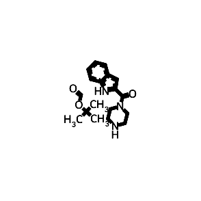 CC(C)(C)OC=O.O=C(c1cc2ccccc2[nH]1)N1CCNCC1